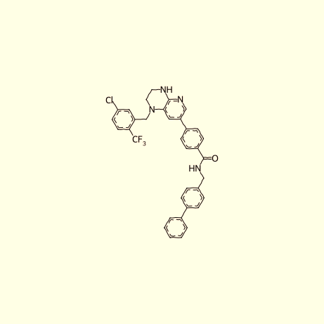 O=C(NCc1ccc(-c2ccccc2)cc1)c1ccc(-c2cnc3c(c2)N(Cc2cc(Cl)ccc2C(F)(F)F)CCN3)cc1